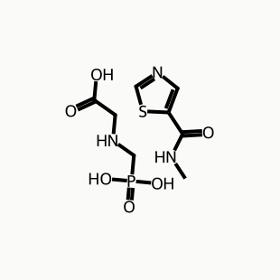 CNC(=O)c1cncs1.O=C(O)CNCP(=O)(O)O